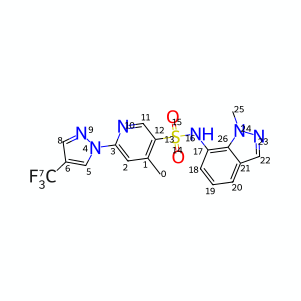 Cc1cc(-n2cc(C(F)(F)F)cn2)ncc1S(=O)(=O)Nc1cccc2cnn(C)c12